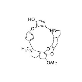 COc1cc2c3c4c1Oc1cc5c(cc1O4)C(Cc1ccc(O)c(c1)Oc1ccc(cc1)CC3N(C)CC2)NCC5